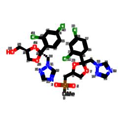 COS(=O)(=O)CC1COC(Cn2cncn2)(c2ccc(Cl)cc2Cl)O1.OC[C@@H]1CO[C@](Cn2cncn2)(c2ccc(Cl)cc2Cl)O1